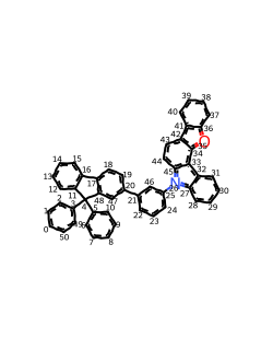 c1ccc(C2(c3ccccc3)c3ccccc3-c3ccc(-c4cccc(-n5c6ccccc6c6c7oc8ccccc8c7ccc65)c4)cc32)cc1